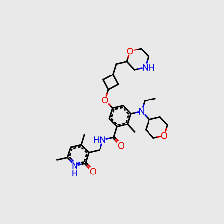 CCN(c1cc(OC2CC(CC3CNCCO3)C2)cc(C(=O)NCc2c(C)cc(C)[nH]c2=O)c1C)C1CCOCC1